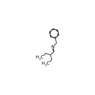 CCC(/C=N/Cc1ccccc1)CC